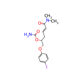 CN(C)C(=O)/C=C/CC(COc1ccc(I)cc1)OC(N)=O